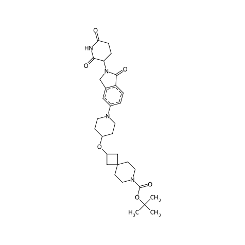 CC(C)(C)OC(=O)N1CCC2(CC1)CC(OC1CCN(c3ccc4c(c3)CN(C3CCC(=O)NC3=O)C4=O)CC1)C2